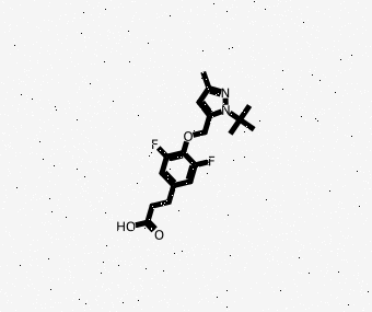 Cc1cc(COc2c(F)cc(CCC(=O)O)cc2F)n(C(C)(C)C)n1